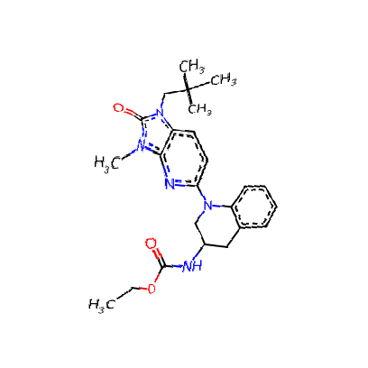 CCOC(=O)NC1Cc2ccccc2N(c2ccc3c(n2)n(C)c(=O)n3CC(C)(C)C)C1